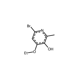 CCOc1cc(Br)nc(C)c1O